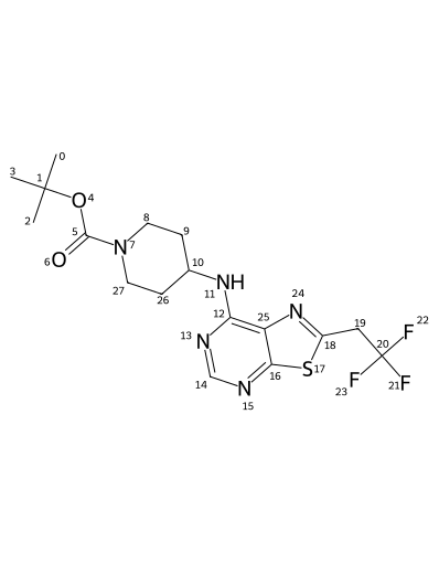 CC(C)(C)OC(=O)N1CCC(Nc2ncnc3sc(CC(F)(F)F)nc23)CC1